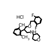 Cc1cccc(C)c1C(CNC1CCOCC1)COCc1c(F)cccc1F.Cl